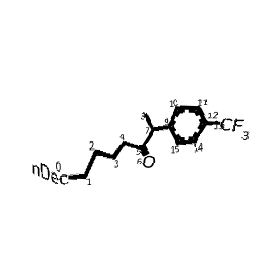 CCCCCCCCCCCCCCC(=O)C(C)c1ccc(C(F)(F)F)cc1